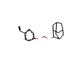 C=Cc1ccc(OCOC2C3CC4CC(C3)CC2C4)cc1